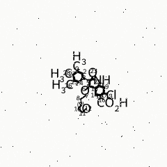 Cc1cc(-c2c(OCC[C@@H]3CCO3)c3cc(C(=O)O)c(Cl)cc3[nH]c2=O)cc(C)c1C